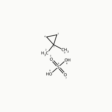 CC1(C)CC1.O=S(=O)(O)O